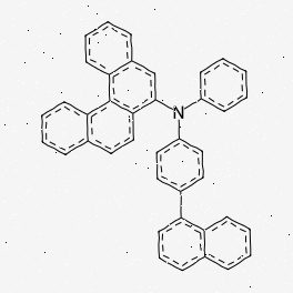 c1ccc(N(c2ccc(-c3cccc4ccccc34)cc2)c2cc3ccccc3c3c2ccc2ccccc23)cc1